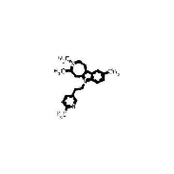 Cc1ccc2c(c1)c1c(n2CCc2ccc(C(F)(F)F)nc2)CC(C)N(C)CC1